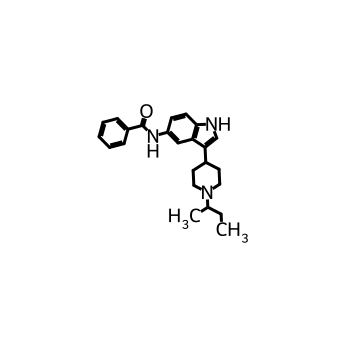 CCC(C)N1CCC(c2c[nH]c3ccc(NC(=O)c4ccccc4)cc23)CC1